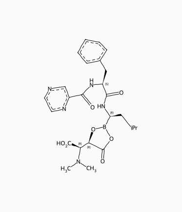 CC(C)C[C@H](NC(=O)[C@H](Cc1ccccc1)NC(=O)c1cnccn1)B1OC(=O)[C@@H]([C@H](C(=O)O)N(C)C)O1